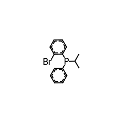 CC(C)P(c1ccccc1)c1ccccc1Br